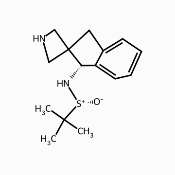 CC(C)(C)[S@@+]([O-])N[C@H]1c2ccccc2CC12CNC2